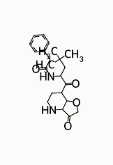 CC(C)(C)CC(NC(=O)Cc1ccccc1)C(=O)C1CCNC2C(=O)COC12